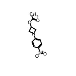 CC(=O)OC1CN(c2ccc([N+](=O)[O-])cc2)C1